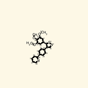 COc1cc(-c2sncc2-c2ccc(-c3ccccn3)cc2)cc(OC)c1OC